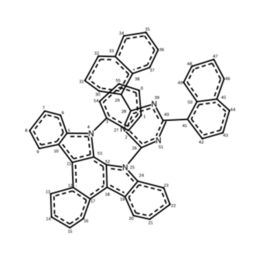 c1ccc(-n2c3ccccc3c3c4ccccc4c4c5ccccc5n(-c5nc(-c6cccc7ccccc67)nc(-c6cccc7ccccc67)n5)c4c32)cc1